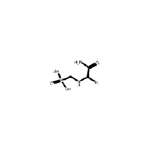 CCC(NCP(=O)(O)O)C(N)=O